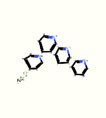 [Cl-].[Cl-].[Fe+2].c1ccncc1.c1ccncc1.c1ccncc1.c1ccncc1